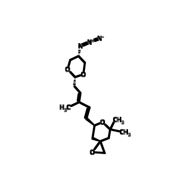 CC(/C=C/[C@@H]1C[C@]2(CO2)CC(C)(C)O1)=C\C[C@H]1OC[C@@H](N=[N+]=[N-])CO1